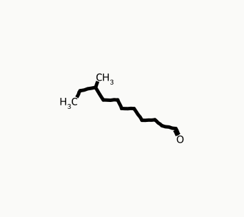 CCC(C)CCCCCCCC=O